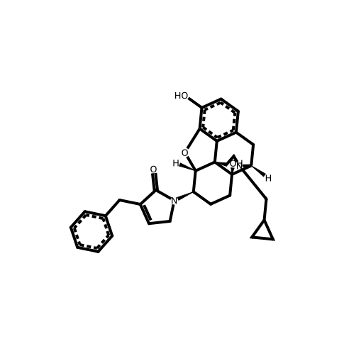 O=C1C(Cc2ccccc2)=CCN1[C@@H]1CC[C@@]2(O)[C@H]3Cc4ccc(O)c5c4[C@@]2(CCN3CC2CC2)[C@H]1O5